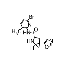 Cc1ccc(Br)nc1NC(=O)[C@@H]1C[C@@]2(c3cnco3)C[C@H]2N1